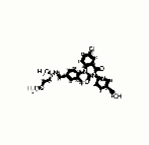 C#Cc1ccc(NC(=O)c2cc(Cl)ccc2N(C=O)c2ccc(C=NN(C)CCOC)cc2F)nc1